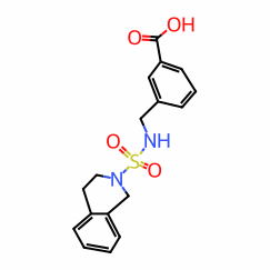 O=C(O)c1cccc(CNS(=O)(=O)N2CCc3ccccc3C2)c1